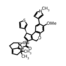 COc1cc2c(cc1-c1ccn(C)c1)C1=C(CO2)C(C(=O)N2CCC/C(C(=O)OC(C)(C)C)=C/CC2(C)C)=C[C@H]1c1ccsc1